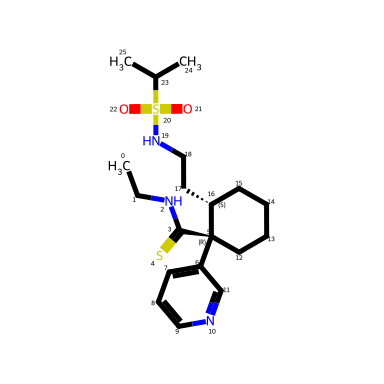 CCNC(=S)[C@]1(c2cccnc2)CCCC[C@H]1CCNS(=O)(=O)C(C)C